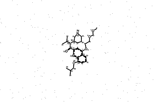 COCOCCOc1cc(C(=O)N(C(C)C)[C@@H]2CCCNC2)nc2c(OCC(C)C)cccc12